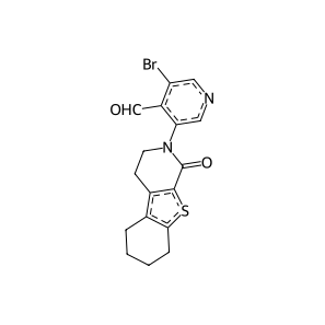 O=Cc1c(Br)cncc1N1CCc2c(sc3c2CCCC3)C1=O